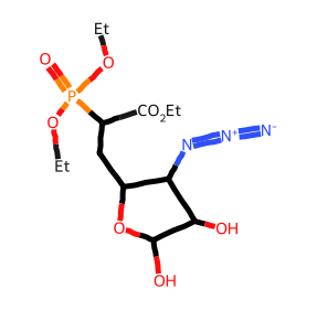 CCOC(=O)C(CC1OC(O)C(O)C1N=[N+]=[N-])P(=O)(OCC)OCC